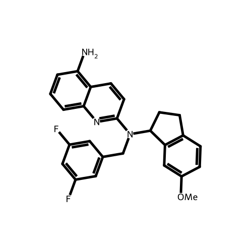 COc1ccc2c(c1)C(N(Cc1cc(F)cc(F)c1)c1ccc3c(N)cccc3n1)CC2